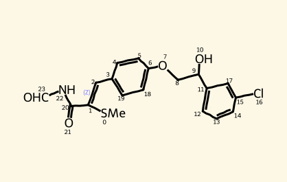 CS/C(=C\c1ccc(OCC(O)c2cccc(Cl)c2)cc1)C(=O)NC=O